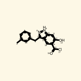 Cc1cccc(Cc2n[nH]c3cc(O)c(C(=O)Cl)cc23)c1